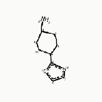 NC1CCC(c2ncco2)CC1